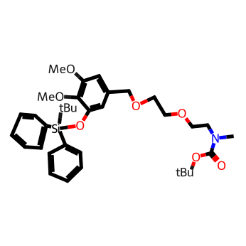 COc1cc(COCCOCCN(C)C(=O)OC(C)(C)C)cc(O[Si](c2ccccc2)(c2ccccc2)C(C)(C)C)c1OC